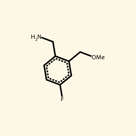 COCc1cc(F)ccc1CN